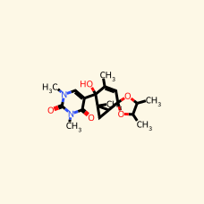 CC1=CC2(OC(C)C(C)O2)C2CC2(C)C1(O)c1cn(C)c(=O)n(C)c1=O